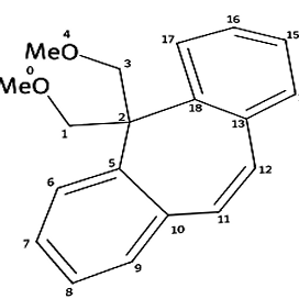 COCC1(COC)c2ccccc2C=Cc2ccccc21